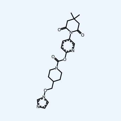 CC1(C)CC(=O)N(c2ccc(OC(=O)N3CCC(COn4ccnc4)CC3)nc2)C(=O)C1